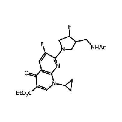 CCOC(=O)c1cn(C2CC2)c2nc(N3CC(F)C(CNC(C)=O)C3)c(F)cc2c1=O